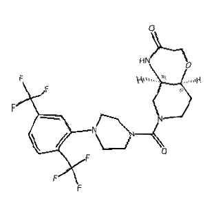 O=C1CO[C@H]2CCN(C(=O)N3CCN(c4cc(C(F)(F)F)ccc4C(F)(F)F)CC3)C[C@H]2N1